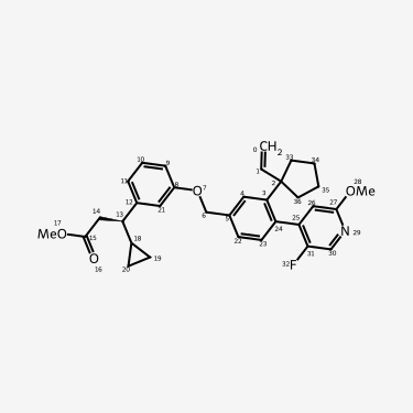 C=CC1(c2cc(COc3cccc([C@H](CC(=O)OC)C4CC4)c3)ccc2-c2cc(OC)ncc2F)CCCC1